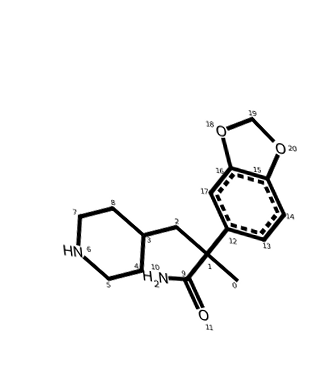 CC(CC1CCNCC1)(C(N)=O)c1ccc2c(c1)OCO2